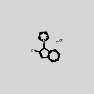 [Cl-].[Cl-].[Zr+2][C]1=Cc2ccccc2C1n1cccc1